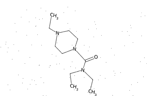 CCN1CCN(C(=O)N(CC)CC)CC1